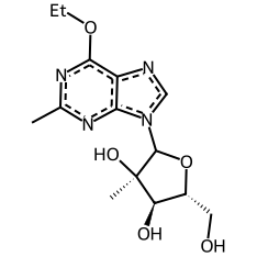 CCOc1nc(C)nc2c1ncn2C1O[C@H](CO)[C@@H](O)[C@@]1(C)O